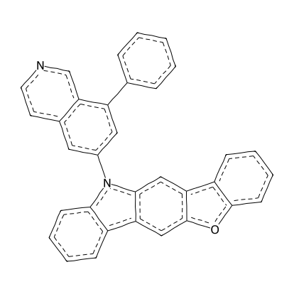 c1ccc(-c2cc(-n3c4ccccc4c4cc5oc6ccccc6c5cc43)cc3ccncc23)cc1